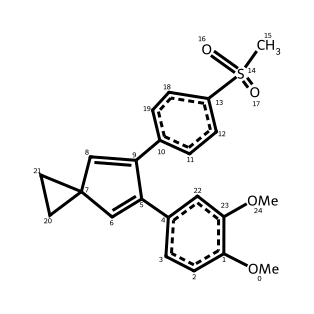 COc1ccc(C2=CC3(C=C2c2ccc(S(C)(=O)=O)cc2)CC3)cc1OC